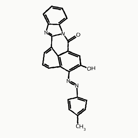 Cc1ccc(N=Nc2c(O)cc3c(=O)n4c5ccccc5nc4c4cccc2c34)cc1